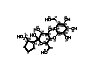 O=C(O)[C@@H]1CCCN1C1(O)O[C@H](CO)[C@@H](O[C@@H]2O[C@H](CO)[C@H](O)[C@H](O)[C@H]2O)[C@H](O)[C@H]1O